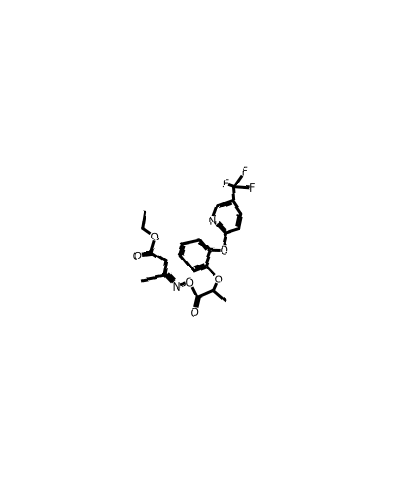 CCOC(=O)CC(C)=NOC(=O)C(C)Oc1ccccc1Oc1ccc(C(F)(F)F)cn1